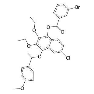 CCOc1c(OCC)c(OC(C)c2ccc(OC)cc2)c2cc(Cl)ccc2c1OC(=O)c1cccc(Br)c1